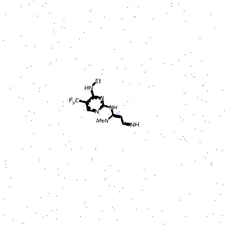 CCNc1nc(N/C(=C/C=N)NC)ncc1C(F)(F)F